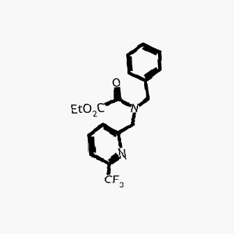 CCOC(=O)C(=O)N(Cc1ccccc1)Cc1cccc(C(F)(F)F)n1